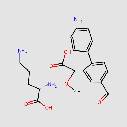 COCC(=O)O.N.NCCC[C@H](N)C(=O)O.O=Cc1ccc(-c2ccccc2)cc1